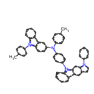 Cc1ccc(N(c2ccc(-n3c4ccccc4c4cc5ccn(-c6ccccc6)c5cc43)cc2)c2ccc3c(c2)c2ccccc2n3-c2ccc(C)cc2)cc1